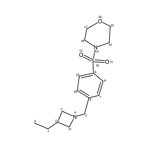 CCC1CN(Cc2ccc(S(=O)(=O)N3CCOCC3)cc2)C1